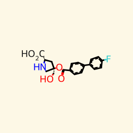 O=C(O[C@@]1(CO)CN[C@H](C(=O)O)C1)c1ccc(-c2ccc(F)cc2)cc1